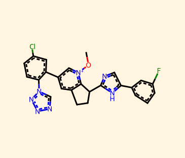 CO[n+]1cc(-c2cc(Cl)ccc2-n2cnnn2)cc2c1C(c1ncc(-c3cccc(F)c3)[nH]1)CC2